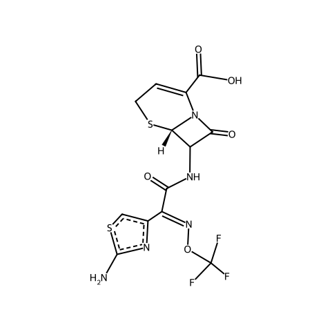 Nc1nc(C(=NOC(F)(F)F)C(=O)NC2C(=O)N3C(C(=O)O)=CCS[C@@H]23)cs1